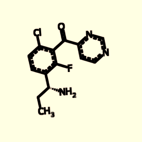 CC[C@@H](N)c1ccc(Cl)c(C(=O)c2ccncn2)c1F